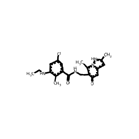 CCNc1cc(Cl)cc(C(=O)NCc2c(C)n3[nH]c(C)cc3cc2=O)c1C